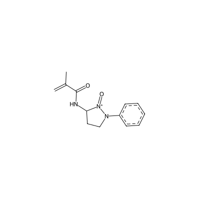 C=C(C)C(=O)NC1CCN(c2ccccc2)[N+]1=O